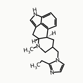 CCc1nccn1CC1C[C@@H]2c3cccc4[nH]cc(c34)C[C@H]2N(C)C1